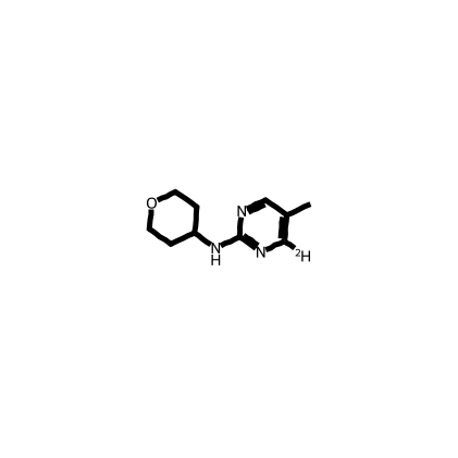 [2H]c1nc(NC2CCOCC2)ncc1C